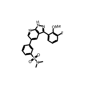 COc1c(F)cccc1-c1n[nH]c2ncc(-c3cccc(S(=O)(=O)N(C)C)c3)cc12